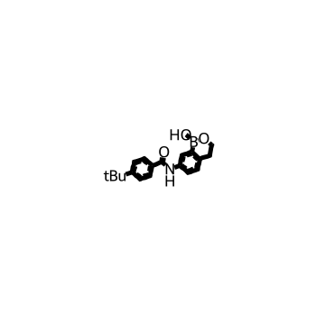 CC(C)(C)c1ccc(C(=O)Nc2ccc3c(c2)B(O)OCC3)cc1